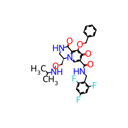 CC(C)NOC[C@H]1CNC(=O)c2c(OCc3ccccc3)c(=O)c(C(=O)NCc3c(F)cc(F)cc3F)cn21